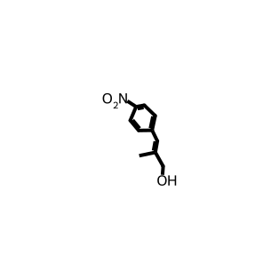 C/C(=C\c1ccc([N+](=O)[O-])cc1)CO